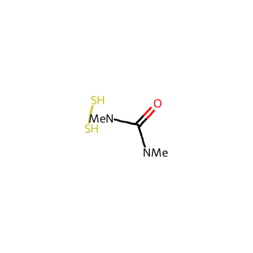 CNC(=O)NC.SS